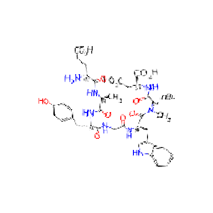 CCCC[C@@H](C(=O)N[C@@H](CC(=O)O)C(=O)O)N(C)C(=O)[C@@H](Cc1c[nH]c2ccccc12)NC(=O)CNC(=O)[C@H](Cc1ccc(O)cc1)NC(=O)[C@H](C)NC(=O)[C@H](N)CCC(=O)O